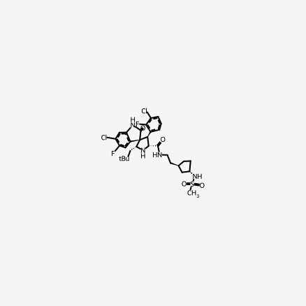 CC(C)(C)C[C@H]1N[C@@H](C(=O)NCC[C@H]2CC[C@H](NS(C)(=O)=O)C2)[C@H](c2cccc(Cl)c2F)[C@@]12C(=O)Nc1cc(Cl)c(F)cc12